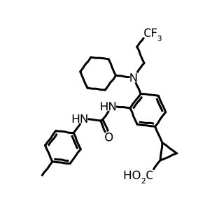 Cc1ccc(NC(=O)Nc2cc(C3CC3C(=O)O)ccc2N(CCC(F)(F)F)C2CCCCC2)cc1